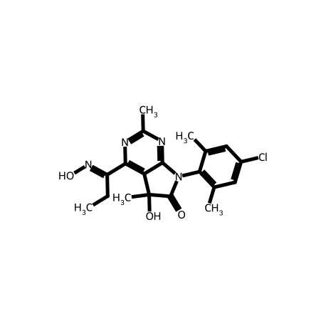 CC/C(=N\O)c1nc(C)nc2c1C(C)(O)C(=O)N2c1c(C)cc(Cl)cc1C